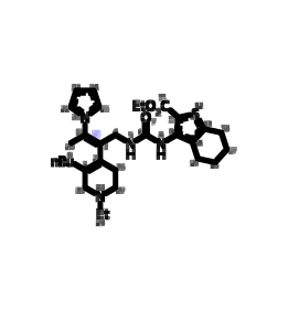 CCCCC1=C(/C(CNC(=O)Nc2c(C(=O)OCC)sc3c2CCCC3)=C(\C)n2cccc2)CCN(CC)C1